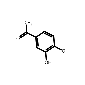 CC(=O)c1c[c]c(O)c(O)c1